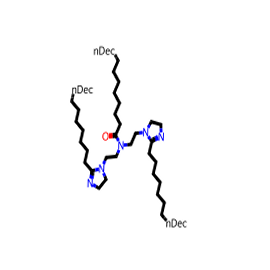 CCCCCCCCCCCCCCCCCC(=O)N(CCN1CCN=C1CCCCCCCCCCCCCCCCC)CCN1CCN=C1CCCCCCCCCCCCCCCCC